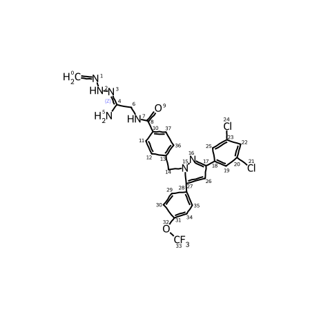 C=NN/N=C(\N)CNC(=O)c1ccc(Cn2nc(-c3cc(Cl)cc(Cl)c3)cc2-c2ccc(OC(F)(F)F)cc2)cc1